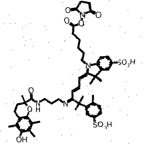 Cc1ccc(S(=O)(=O)O)cc1C(C)(C)C(/C=C/C=C1/N(CCCCCC(=O)ON2C(=O)CCC2=O)c2ccc(S(=O)(=O)O)cc2C1(C)C)=N/CCCNC(=O)C1(C)CCc2c(C)c(O)c(C)c(C)c2O1